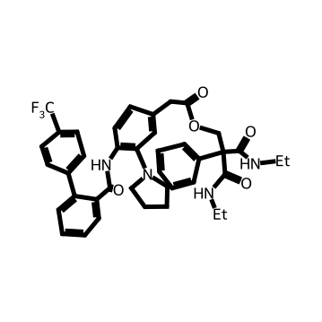 CCNC(=O)C(COC(=O)Cc1ccc(NC(=O)c2ccccc2-c2ccc(C(F)(F)F)cc2)c(N2CCCC2)c1)(C(=O)NCC)c1ccccc1